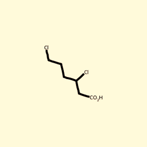 O=C(O)CC(Cl)CCCCl